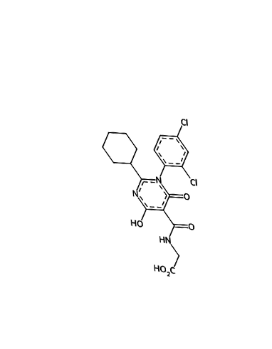 O=C(O)CNC(=O)c1c(O)nc(C2CCCCC2)n(-c2ccc(Cl)cc2Cl)c1=O